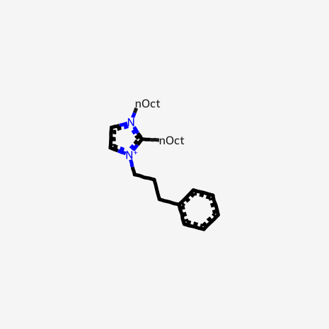 CCCCCCCCc1n(CCCCCCCC)cc[n+]1CCCc1ccccc1